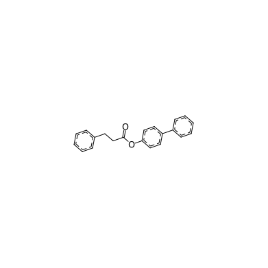 O=C(CCc1ccccc1)Oc1ccc(-c2ccccc2)cc1